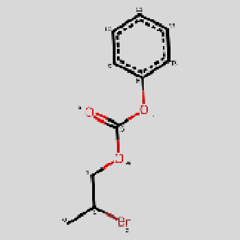 CC(Br)COC(=O)Oc1ccccc1